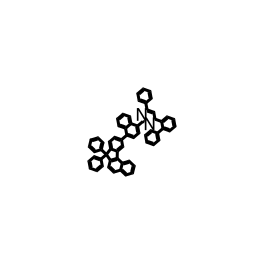 c1ccc(-c2cc(-c3ccccc3-c3ccccc3)nc(-c3ccc(-c4ccc5c(c4)-c4c(ccc6ccccc46)C5(c4ccccc4)c4ccccc4)c4ccccc34)n2)cc1